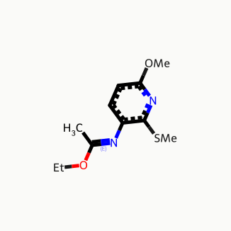 CCO/C(C)=N/c1ccc(OC)nc1SC